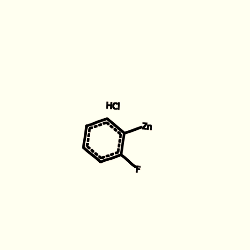 Cl.Fc1cccc[c]1[Zn]